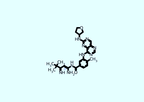 Cc1ccc(C(=O)N/C(N)=C/C(=N)C(C)(C)C)cc1Nc1ncnc2cnc(NC3CCOC3)nc12